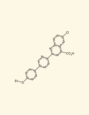 CCOc1ccc(-c2ccc(-c3cc(C(=O)O)c4cc(Cl)ccc4n3)nc2)cc1